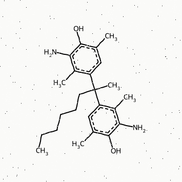 CCCCCCC(C)(c1cc(C)c(O)c(N)c1C)c1cc(C)c(O)c(N)c1C